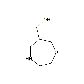 OCC1CNCCOC1